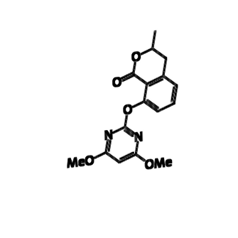 COc1cc(OC)nc(Oc2cccc3c2C(=O)OC(C)C3)n1